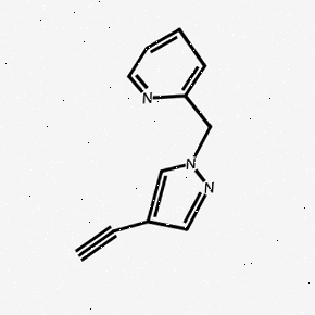 C#Cc1cnn(Cc2ccccn2)c1